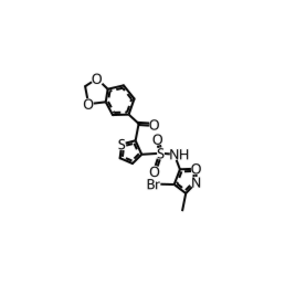 Cc1noc(NS(=O)(=O)c2ccsc2C(=O)c2ccc3c(c2)OCO3)c1Br